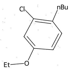 [CH2]CCCc1ccc(OCC)cc1Cl